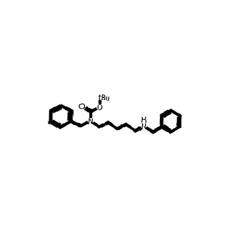 CC(C)(C)OC(=O)N(CCCCCNCc1ccccc1)Cc1ccccc1